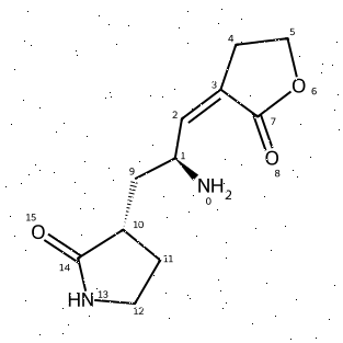 N[C@H](/C=C1/CCOC1=O)C[C@@H]1CCNC1=O